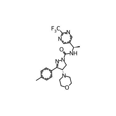 Cc1ccc(C2=NN(C(=O)N[C@H](C)c3cnc(C(F)(F)F)nc3)C[C@@H]2N2CCOCC2)cc1